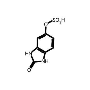 O=c1[nH]c2ccc(OS(=O)(=O)O)cc2[nH]1